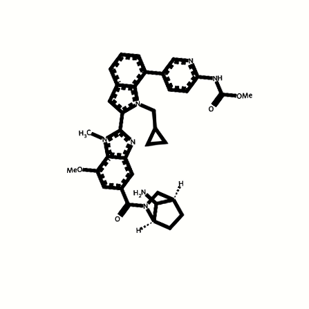 COC(=O)Nc1ccc(-c2cccc3cc(-c4nc5cc(C(=O)N6C[C@H]7CC[C@@H]6C7N)cc(OC)c5n4C)n(CC4CC4)c23)cn1